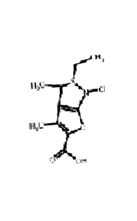 CCN1C(C)c2c(oc(C(=O)O)c2C)N1Cl